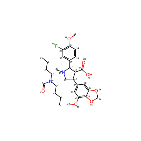 CCCCN(C=O)CCCC.COc1ccc(C2C(C(=O)O)C(c3cc(OC)c4c(c3)OCO4)CN2C)cc1F